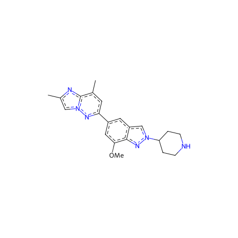 COc1cc(-c2cc(C)c3nc(C)cn3n2)cc2cn(C3CCNCC3)nc12